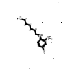 O=[N+]([O-])c1cc(Br)ccc1NCCCCCCO